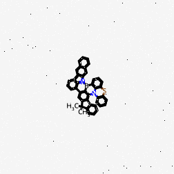 CC1(C)c2ccccc2-c2c1cc1c3c2N2c4ccccc4Sc4cccc(c42)B3n2c3cc4ccccc4cc3c3cccc-1c32